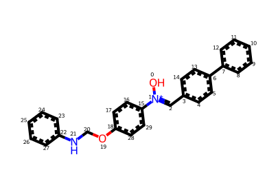 O[N+](=Cc1ccc(-c2ccccc2)cc1)c1ccc(OCNc2ccccc2)cc1